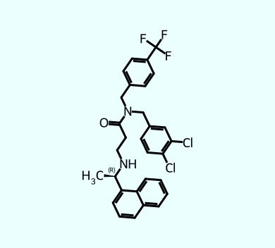 C[C@@H](NCCC(=O)N(Cc1ccc(C(F)(F)F)cc1)Cc1ccc(Cl)c(Cl)c1)c1cccc2ccccc12